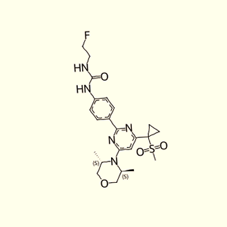 C[C@H]1COC[C@H](C)N1c1cc(C2(S(C)(=O)=O)CC2)nc(-c2ccc(NC(=O)NCCF)cc2)n1